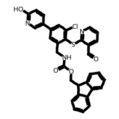 O=Cc1cccnc1Sc1c(Cl)cc(-c2ccc(O)nc2)cc1CNC(=O)OCC1c2ccccc2-c2ccccc21